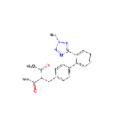 CCCCC(=O)C(Cc1ccc(-c2ccccc2-c2nnn(C(C)(C)C)n2)cc1)C(=O)OC